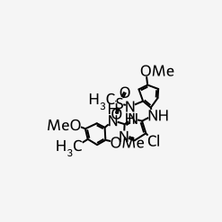 COc1ccc(Nc2nc(Nc3cc(OC)c(C)cc3OC)ncc2Cl)c(NS(C)(=O)=O)c1